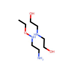 CCONCCN.OCCNCCO